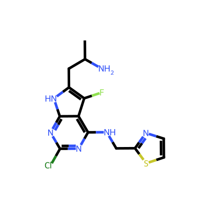 CC(N)Cc1[nH]c2nc(Cl)nc(NCc3nccs3)c2c1F